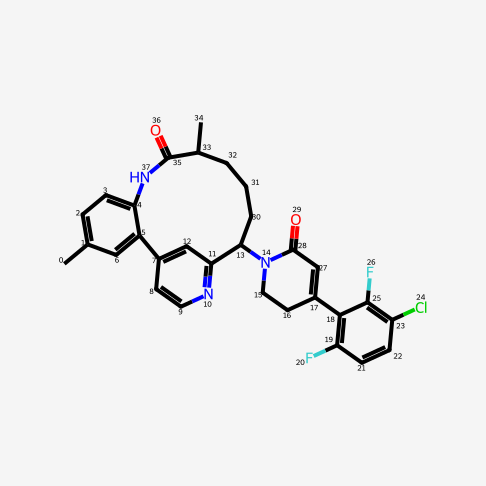 Cc1ccc2c(c1)-c1ccnc(c1)C(N1CCC(c3c(F)ccc(Cl)c3F)=CC1=O)CCCC(C)C(=O)N2